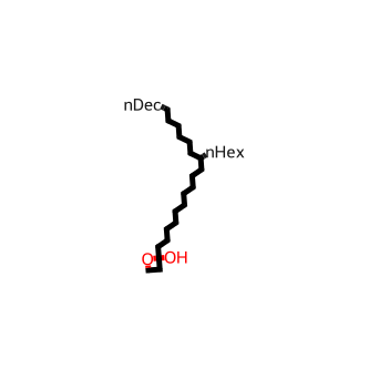 CCCCCCCCCCCCCCCCC(CCCCCC)CCCCCCCCCCC1(O)CCO1